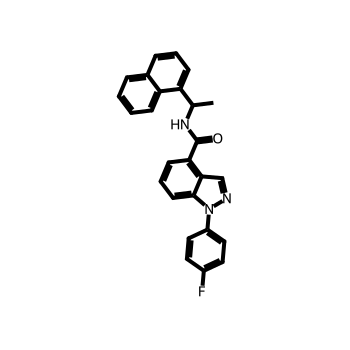 CC(NC(=O)c1cccc2c1cnn2-c1ccc(F)cc1)c1cccc2ccccc12